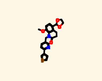 COc1ccc(C2OCCO2)c2c1N(Cc1ccc(-c3ccsc3)nc1)C(=O)CC2